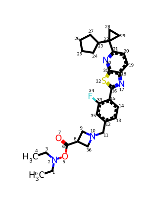 CCN(CC)OC(=O)C1CN(Cc2ccc(-c3nc4ccc(C5(C6CCCC6)CC5)nc4s3)c(F)c2)C1